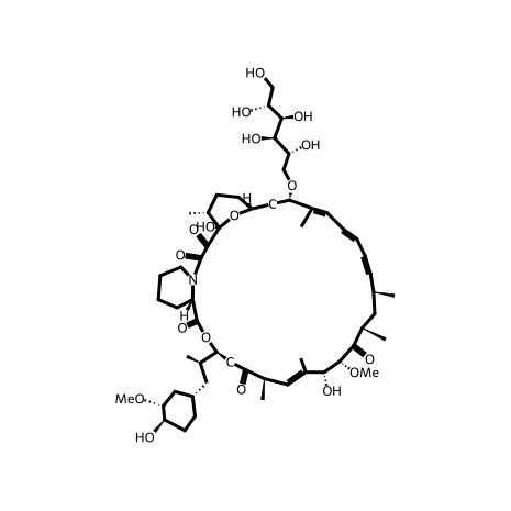 CO[C@@H]1C[C@H](C[C@@H](C)[C@@H]2CC(=O)[C@H](C)/C=C(\C)[C@@H](O)[C@@H](OC)C(=O)[C@H](C)C[C@H](C)/C=C/C=C/C=C(\C)[C@@H](OC[C@@H](O)[C@@H](O)[C@H](O)[C@H](O)CO)C[C@@H]3CC[C@@H](C)[C@@](O)(O3)C(=O)C(=O)N3CCCC[C@H]3C(=O)O2)CC[C@H]1O